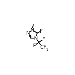 CN1N=CN(C(F)(F)C(F)(F)F)C1F